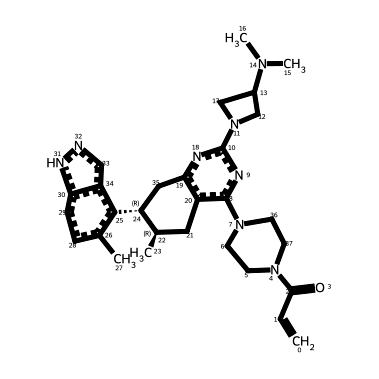 C=CC(=O)N1CCN(c2nc(N3CC(N(C)C)C3)nc3c2C[C@@H](C)[C@H](c2c(C)ccc4[nH]ncc24)C3)CC1